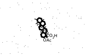 CC(=O)O[C@H]1CC[C@@]2(C)[C@H](CC[C@]3(C)[C@H]2CC=C2[C@@H]4[C@@H](C)[C@@H](C)CC[C@]4(C)CC[C@@]23C)[C@]1(C)C(=O)O